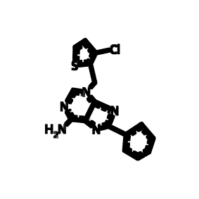 Nc1ncn(Cc2sccc2Cl)c2nc(-c3ccccc3)nc1-2